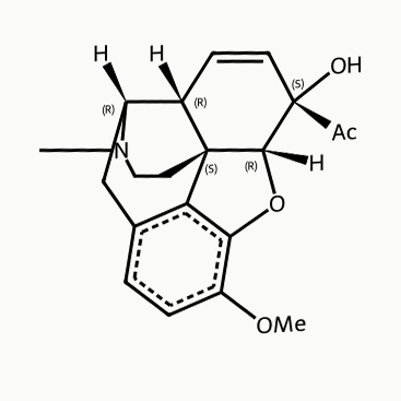 COc1ccc2c3c1O[C@@H]1[C@]34CCN(C)[C@H](C2)[C@@H]4C=C[C@@]1(O)C(C)=O